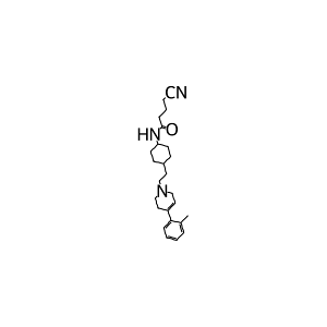 Cc1ccccc1C1=CCN(CCC2CCC(NC(=O)CCCC#N)CC2)CC1